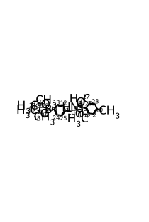 Cc1cc(C)c(S(=O)(=O)NCc2ccc(B3OC(C)(C)C(C)(C)O3)cc2)c(C)c1